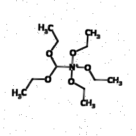 CCOC(OCC)[N+](OCC)(OCC)OCC